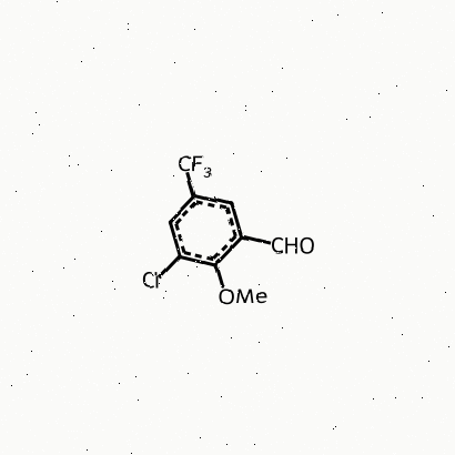 COc1c(Cl)cc(C(F)(F)F)cc1C=O